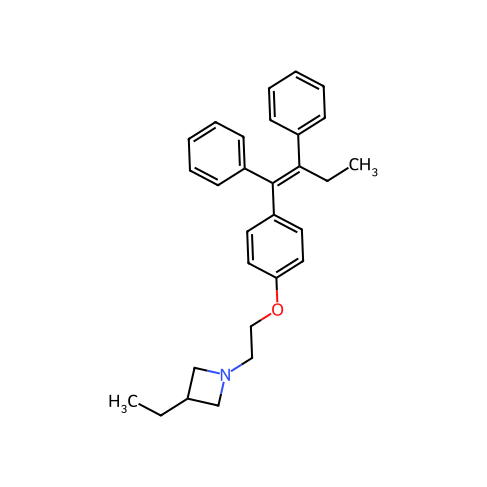 CC/C(=C(/c1ccccc1)c1ccc(OCCN2CC(CC)C2)cc1)c1ccccc1